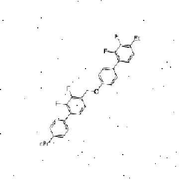 CCCc1ccc(-c2ccc(COc3ccc(-c4ccc(CC)c(F)c4F)cc3)c(F)c2F)cc1